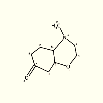 CN1CCOC2CC(=O)CCC21